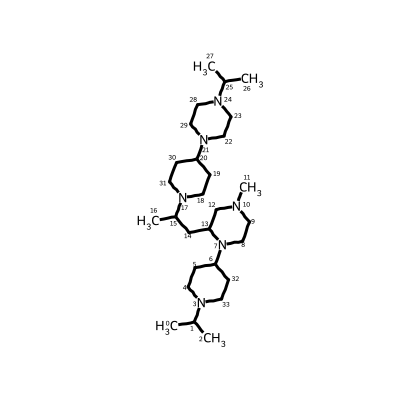 CC(C)N1CCC(N2CCN(C)CC2CC(C)N2CCC(N3CCN(C(C)C)CC3)CC2)CC1